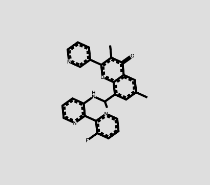 Cc1cc(C(C)Nc2cccnc2-c2ncccc2F)c2oc(-c3cccnc3)c(C)c(=O)c2c1